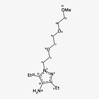 CCc1nn(CCOCCOCCOC)c(CC)c1N